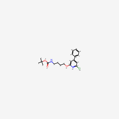 CC(C)(C)OC(=O)NCCCCOc1cc(-c2ccccc2)cc(Cl)n1